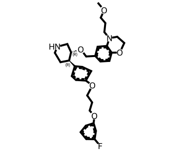 COCCCN1CCOc2ccc(CO[C@H]3CNCC[C@@H]3c3ccc(OCCCOc4cccc(F)c4)cc3)cc21